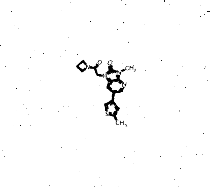 Cc1cc(-c2cnc3c(c2)n(CC(=O)N2CCC2)c(=O)n3C)cs1